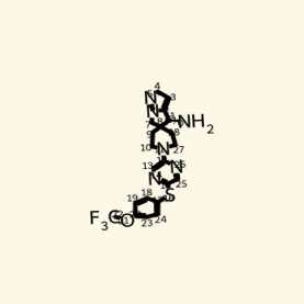 N[C@@H]1c2ccnn2CC12CCN(c1cnc(Sc3ccc(OC(F)(F)F)cc3)cn1)CC2